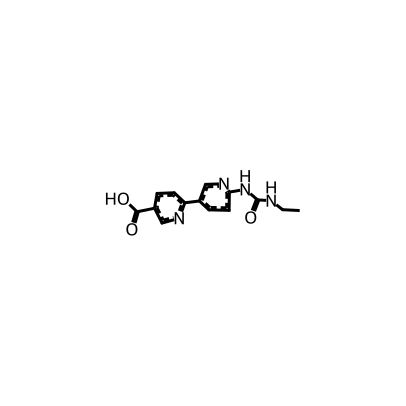 CCNC(=O)Nc1ccc(-c2ccc(C(=O)O)cn2)cn1